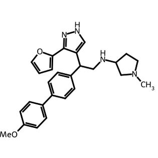 COc1ccc(-c2ccc(C(CNC3CCN(C)C3)c3c[nH]nc3-c3ccco3)cc2)cc1